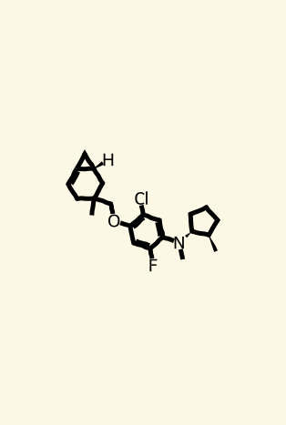 C[C@@H]1CCC[C@H]1N(C)c1cc(Cl)c(OCC2(C)CC=C3C[C@@H]3C2)cc1F